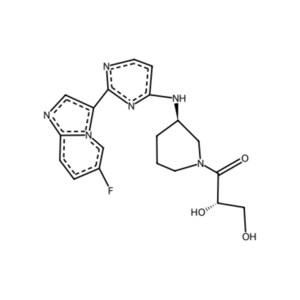 O=C([C@@H](O)CO)N1CCC[C@@H](Nc2ccnc(-c3cnc4ccc(F)cn34)n2)C1